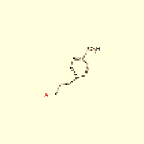 O=S(=O)(O)c1ccc(CCCBr)cc1